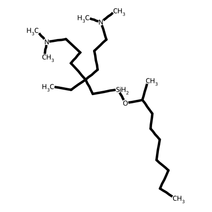 CCCCCCCC(C)O[SiH2]CC(CC)(CCCN(C)C)CCCN(C)C